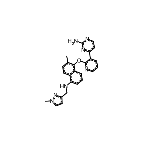 Cc1ccc2c(NCc3ccn(C)n3)cccc2c1Oc1ncccc1-c1ccnc(N)n1